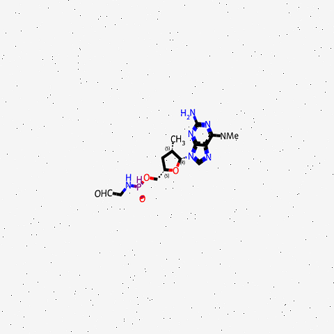 CNc1nc(N)nc2c1ncn2[C@@H]1O[C@H](CO[PH](=O)NCC=O)C[C@@H]1C